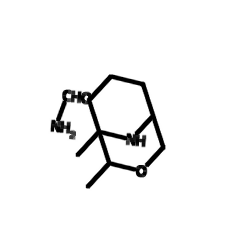 CC1OCC2CCCC1(C)N2.NC=O